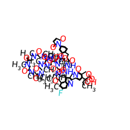 CC[C@@]1(O)C(=O)OCc2c1cc1n(c2=O)Cc2c-1nc1cc(F)c(C)c3c1c2[C@@H](NC(=O)[C@H](CC(N)=O)NC(=O)CCc1ccc(N2C(=O)C=CC2=O)cc1OCCCC(=O)N(C)CC(=O)N(C)CC(=O)N(C)CC(=O)N(C)CC(=O)N(C)CC(=O)N(C)CC(=O)N(C)CC(=O)N(C)CC(=O)N(C)CC(=O)N(C)CC(C)=O)CC3